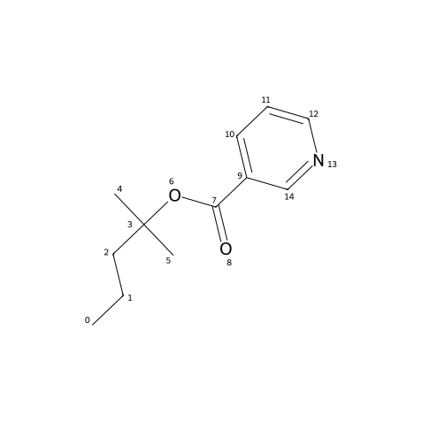 CCCC(C)(C)OC(=O)c1cccnc1